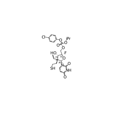 C=C[C@@]1(CCS)[C@H](n2ccc(=O)[nH]c2=O)O[C@](F)(COP(=O)(Oc2ccc(Cl)cc2)OC(C)C)[C@H]1O